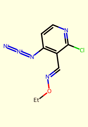 CCON=Cc1c(N=[N+]=[N-])ccnc1Cl